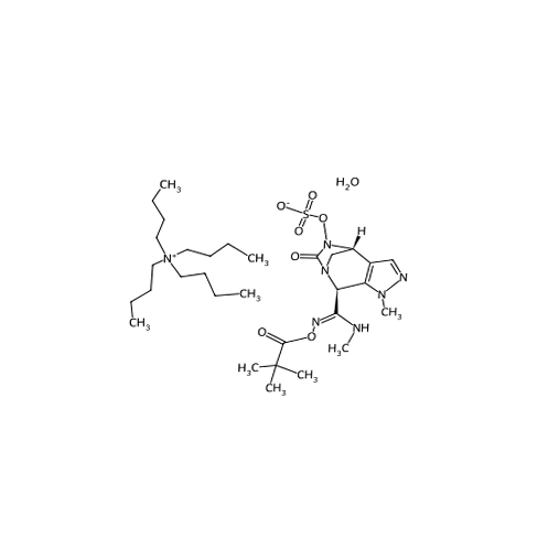 CCCC[N+](CCCC)(CCCC)CCCC.CN/C(=N\OC(=O)C(C)(C)C)[C@@H]1c2c(cnn2C)[C@@H]2CN1C(=O)N2OS(=O)(=O)[O-].O